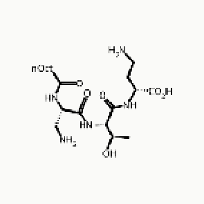 CCCCCCCCC(=O)N[C@@H](CN)C(=O)N[C@H](C(=O)N[C@H](CCN)C(=O)O)[C@@H](C)O